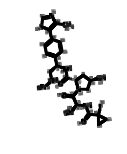 CCCNC[C@H](NC(=O)[C@@H]1C[C@@H](O)CN1C(=O)[C@@H](NC(=O)C1(F)CC1)C(C)(C)C)c1ccc(-c2scnc2C)cc1